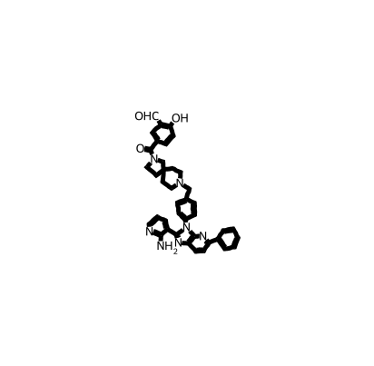 Nc1ncccc1-c1nc2ccc(-c3ccccc3)nc2n1-c1ccc(CN2CCC3(CC2)CCN(C(=O)c2ccc(O)c(C=O)c2)C3)cc1